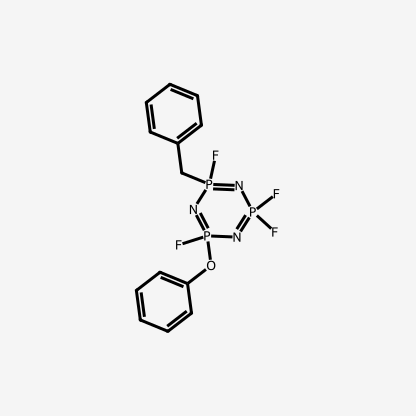 FP1(F)=NP(F)(Oc2ccccc2)=NP(F)(Cc2ccccc2)=N1